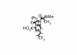 CN[C@@H](C)C(=O)N[C@H](C(=O)N1CCN(CCC(F)(F)F)C[C@H]1C(=O)O)C(C)C